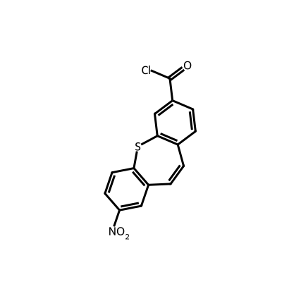 O=C(Cl)c1ccc2c(c1)Sc1ccc([N+](=O)[O-])cc1C=C2